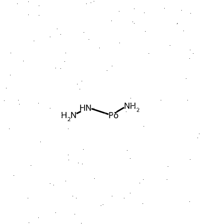 N[NH][Po][NH2]